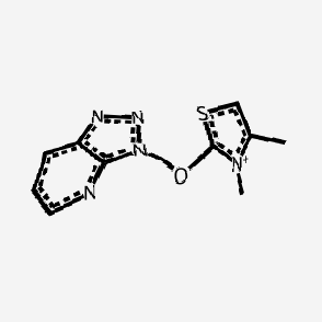 Cc1csc(On2nnc3cccnc32)[n+]1C